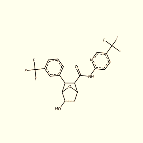 O=C(Nc1ccc(C(F)(F)F)cn1)C1C2CC(O)C(O2)C1c1cccc(C(F)(F)F)c1